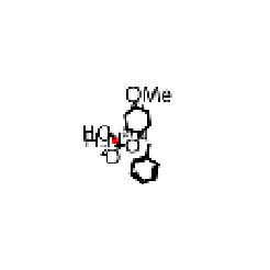 CO[C@@H]1CC[C@@](Cc2ccccc2)(OC(N)=O)[C@H](CO)C1